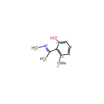 C/N=C(\C)c1c(O)cccc1OC